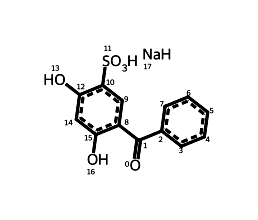 O=C(c1ccccc1)c1cc(S(=O)(=O)O)c(O)cc1O.[NaH]